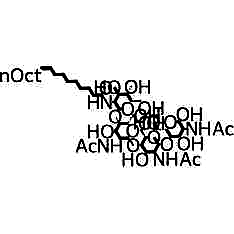 CCCCCCCC/C=C\CCCCCCCC(=O)N[C@@H]1C(O)[C@H](O)[C@@H](CO)O[C@H]1O[C@H]1C(O)[C@@H](NC(C)=O)[C@H](O[C@H]2C(O)[C@@H](NC(C)=O)[C@H](O[C@H]3C(O)[C@H](NC(C)=O)C(O)O[C@H]3CO)O[C@@H]2CO)O[C@H]1CO